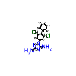 Nc1nc(N)n(-c2cc(Cl)c(-c3ccccc3)c(Cl)c2)n1